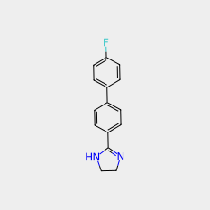 Fc1ccc(-c2ccc(C3=NCCN3)cc2)cc1